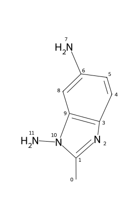 Cc1nc2ccc(N)cc2n1N